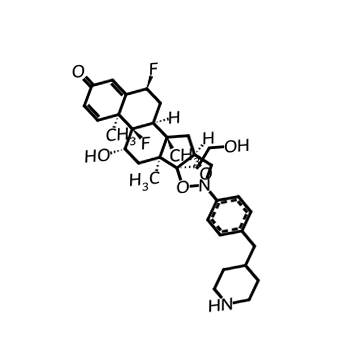 C[C@]12C[C@H](O)[C@@]3(F)[C@@H](C[C@H](F)C4=CC(=O)C=C[C@@]43C)[C@]1(C)C[C@H]1CN(c3ccc(CC4CCNCC4)cc3)O[C@]12C(=O)CO